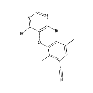 Cc1cc(C#N)c(C)c(Oc2c(Br)ncnc2Br)c1